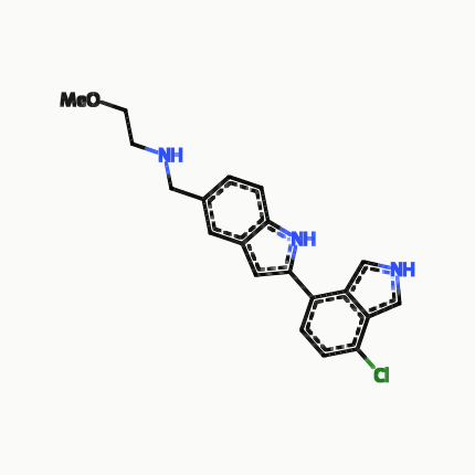 COCCNCc1ccc2[nH]c(-c3ccc(Cl)c4c[nH]cc34)cc2c1